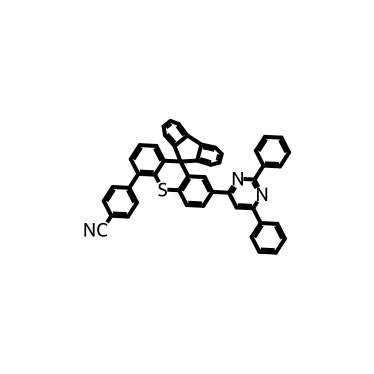 N#Cc1ccc(-c2cccc3c2Sc2ccc(-c4cc(-c5ccccc5)nc(-c5ccccc5)n4)cc2C32c3ccccc3-c3ccccc32)cc1